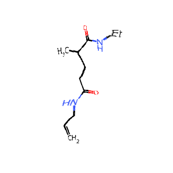 C=CCNC(=O)CCC(C)C(=O)NCC